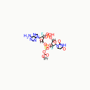 CC(C)OC(=O)OCSP1(=O)OC[C@H]2O[C@@H](n3cnc4c(N)ncnc43)[C@@H](F)[C@H]2OP(=O)(O)OC[C@H]2O[C@@H](n3ccc(=O)[nH]c3=O)[C@@H](F)[C@H]2O1